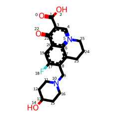 O=C(O)c1cn2c3c(c(CN4CCC(O)CC4)c(F)cc3c1=O)CCC2